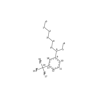 CCCCCCC(CC)c1cccc(C(F)(F)F)c1